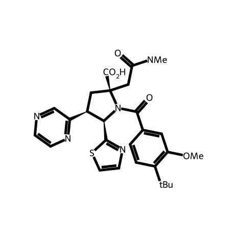 CNC(=O)C[C@@]1(C(=O)O)C[C@H](c2cnccn2)[C@H](c2nccs2)N1C(=O)c1ccc(C(C)(C)C)c(OC)c1